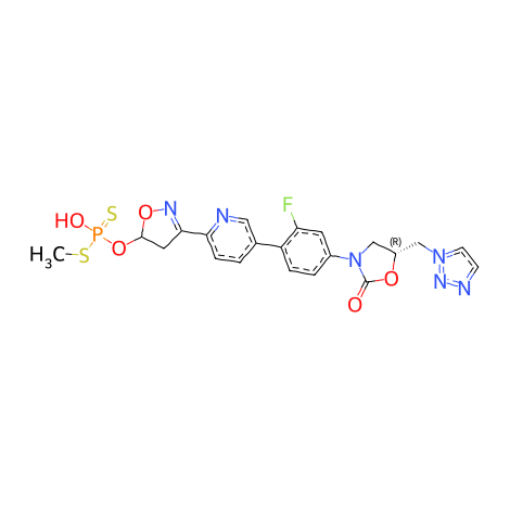 CSP(O)(=S)OC1CC(c2ccc(-c3ccc(N4C[C@H](Cn5ccnn5)OC4=O)cc3F)cn2)=NO1